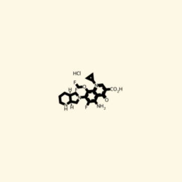 Cl.Nc1c(F)c(N2C[C@@H]3CCCN[C@@H]3C2)c(OC(F)F)c2c1c(=O)c(C(=O)O)cn2C1CC1